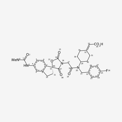 CNC(=O)Nc1ccc2c(c1)CC[C@@]21OC(=O)N(CC(=O)N(Cc2ccc(F)cc2)C2CCC(=CC(=O)O)CC2)C1=O